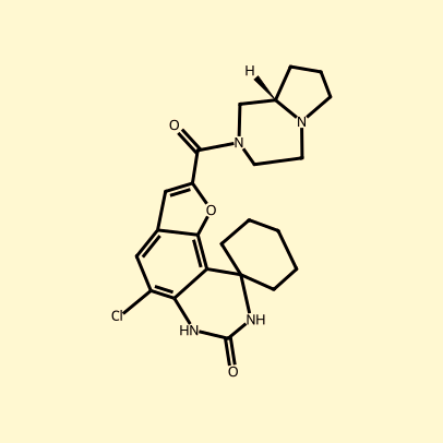 O=C1Nc2c(Cl)cc3cc(C(=O)N4CCN5CCC[C@H]5C4)oc3c2C2(CCCCC2)N1